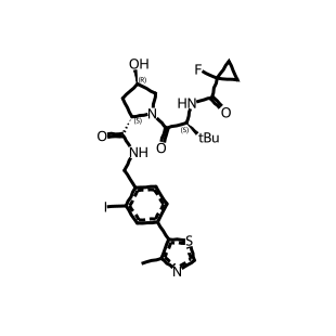 Cc1ncsc1-c1ccc(CNC(=O)[C@@H]2C[C@@H](O)CN2C(=O)[C@@H](NC(=O)C2(F)CC2)C(C)(C)C)c(I)c1